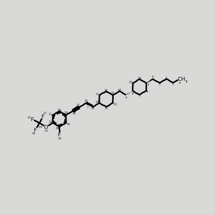 CCCCC[C@H]1CC[C@H](CCC2CCC(/C=C/C#Cc3ccc(OC(F)(F)F)c(F)c3)CC2)CC1